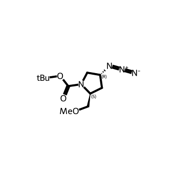 COC[C@@H]1C[C@@H](N=[N+]=[N-])CN1C(=O)OC(C)(C)C